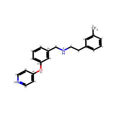 FC(F)(F)c1cccc(CCNCc2cccc(Oc3ccncc3)c2)c1